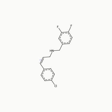 Fc1ccc(CNC/C=C\c2ccc(Cl)cc2)cc1F